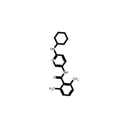 Cc1cccc(C)c1C(=O)Nc1ccc(NC2CCCCC2)nc1